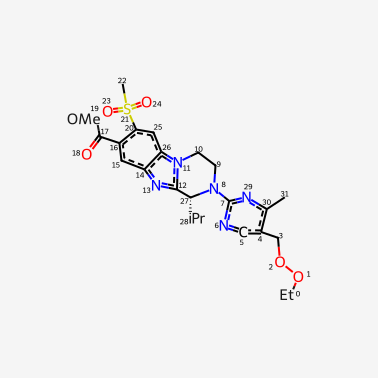 CCOOCc1cnc(N2CCn3c(nc4cc(C(=O)OC)c(S(C)(=O)=O)cc43)[C@H]2C(C)C)nc1C